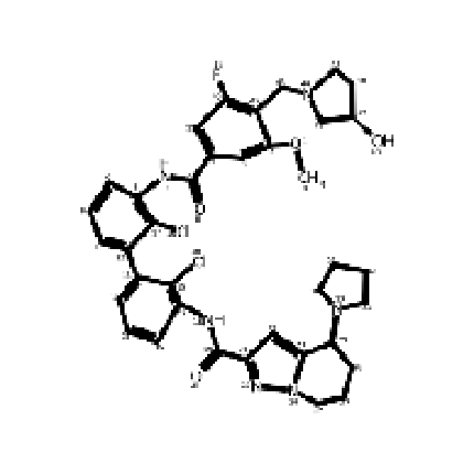 COc1cc(C(=O)Nc2cccc(-c3cccc(NC(=O)c4cc5n(n4)CCCC5N4CCCC4)c3Cl)c2Cl)cc(F)c1CN1CC[C@@H](O)C1